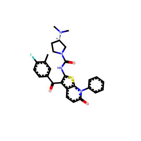 Cc1cc(C(=O)c2c(NC(=O)N3CC[C@H](N(C)C)C3)sc3c2ccc(=O)n3-c2ccccc2)ccc1F